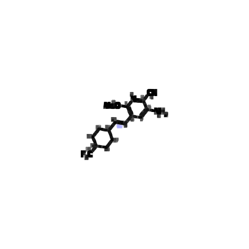 COc1nc(C#N)c(N)cc1/C=C/C1CCC(C(F)(F)F)CC1